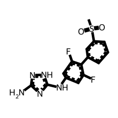 CS(=O)(=O)c1cccc(-c2c(F)cc(Nc3nc(N)n[nH]3)cc2F)c1